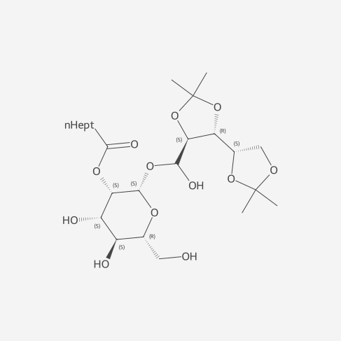 CCCCCCCC(=O)O[C@@H]1[C@H](OC(O)[C@H]2OC(C)(C)O[C@@H]2[C@@H]2COC(C)(C)O2)O[C@H](CO)[C@@H](O)[C@@H]1O